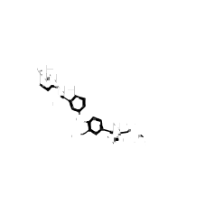 CCOC(=O)c1nc(-c2ccc(Oc3cccc(C(=O)Nc4ccn(C)n4)c3)c(Cl)c2)no1